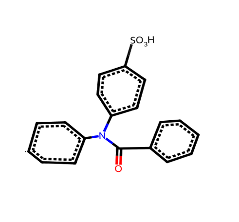 O=C(c1ccccc1)N(c1cc[c]cc1)c1ccc(S(=O)(=O)O)cc1